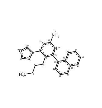 CCCCc1c(-c2ccoc2)nc(N)nc1-c1cccc2ccccc12